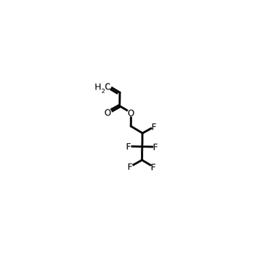 C=CC(=O)OCC(F)C(F)(F)C(F)F